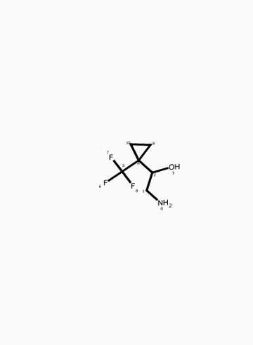 NCC(O)C1(C(F)(F)F)CC1